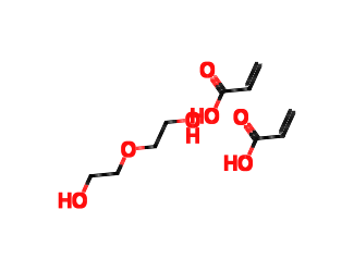 C=CC(=O)O.C=CC(=O)O.OCCOCCO